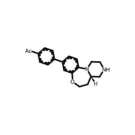 CC(=O)c1ccc(-c2ccc3c(c2)OCC[C@H]2CNCCN32)cc1